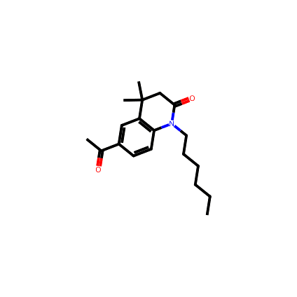 CCCCCCN1C(=O)CC(C)(C)c2cc(C(C)=O)ccc21